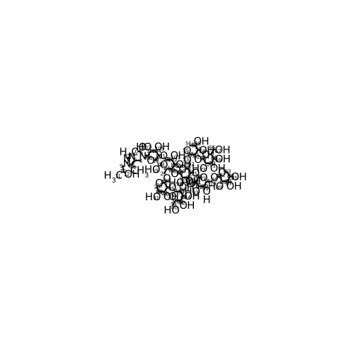 CC(=O)N(Cc1nnn(CC(C)O)c1C)[C@@H]1O[C@@H](CO)[C@@H](O[C@@H]2OC(CO[C@H]3OC[C@@H](O)[C@H](O)C3OC3OC(CO)[C@H](O)[C@H](O)[C@@H]3O)[C@@H](O[C@@H]3O[C@@H](CO[C@@H]4OC[C@H](O)C(O)C4O[C@@H]4OC(CO)[C@H](O)[C@H](O)C4O)[C@@H](O[C@@H]4OC(CO[C@H]5OC[C@@H](O)[C@H](O)C5O)[C@@H](O)[C@H](O)C4O)C(O)C3O)[C@H](O)C2O)C(O)C1O